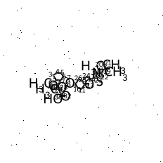 COc1cccc(COc2ccc3oc(-c4nc(C(C)(C)C)cs4)cc3c2)c1O[C@H](C)C(=O)O